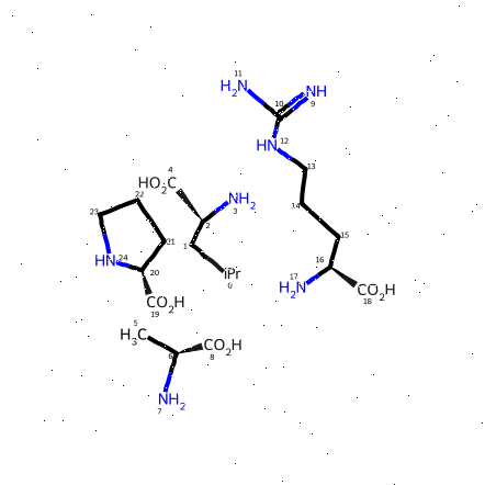 CC(C)C[C@H](N)C(=O)O.C[C@H](N)C(=O)O.N=C(N)NCCC[C@H](N)C(=O)O.O=C(O)[C@@H]1CCCN1